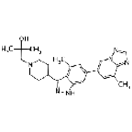 Cc1cc(-c2cc(C)c3ncnn3c2)cc2[nH]nc(C3CCN(CC(C)(C)O)CC3)c12